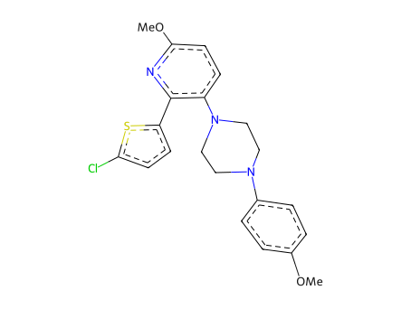 COc1ccc(N2CCN(c3ccc(OC)nc3-c3ccc(Cl)s3)CC2)cc1